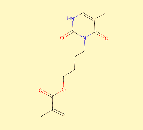 C=C(C)C(=O)OCCCCn1c(=O)[nH]cc(C)c1=O